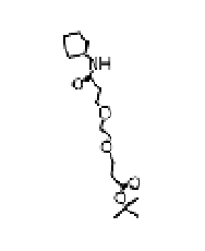 CC(C)(C)OC(=O)CCOCCOCCC(=O)NC1CCCCC1